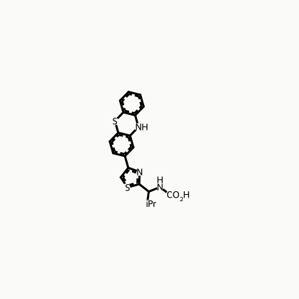 CC(C)C(NC(=O)O)c1nc(-c2ccc3c(c2)Nc2ccccc2S3)cs1